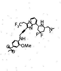 COc1cc(S(C)(=O)=O)ccc1NCC#Cc1nc2c([C@@H]3CC(F)(F)C[C@H](CN(C)C)N3)cccn2c1CC(F)(F)F